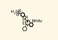 CCN(c1cccc(NC(C)=O)c1/N=N/c1nc2ccc(S(C)(=O)=O)cc2s1)C1CCCCC1